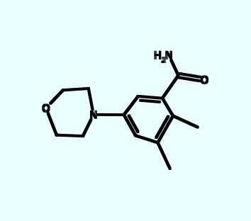 Cc1cc(N2CCOCC2)cc(C(N)=O)c1C